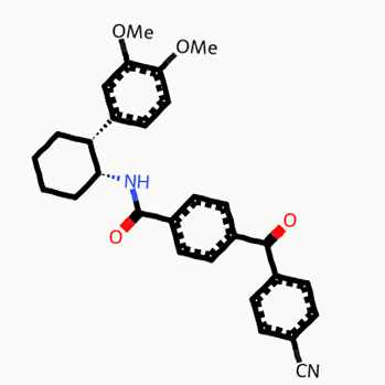 COc1ccc([C@H]2CCCC[C@H]2NC(=O)c2ccc(C(=O)c3ccc(C#N)cc3)cc2)cc1OC